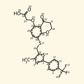 Cc1nc(-c2ccc(C(F)(F)F)cc2)sc1CSc1ccc(OCC(=O)O)c2c1OCCC2=O